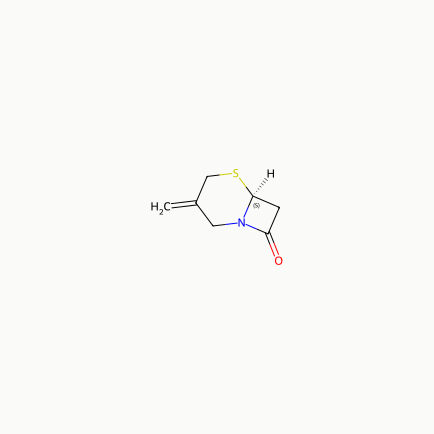 C=C1CS[C@H]2CC(=O)N2C1